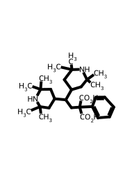 CC1(C)CC(C(CC(C(=O)O)(C(=O)O)c2ccccc2)C2CC(C)(C)NC(C)(C)C2)CC(C)(C)N1